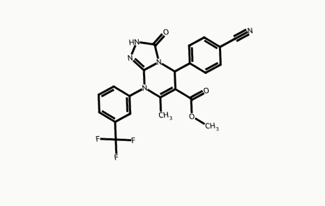 COC(=O)C1=C(C)N(c2cccc(C(F)(F)F)c2)c2n[nH]c(=O)n2C1c1ccc(C#N)cc1